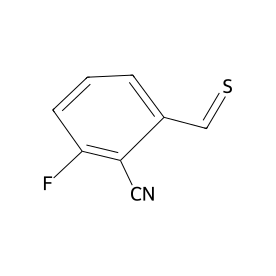 N#Cc1c(F)cccc1C=S